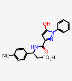 N#Cc1ccc([C@H](CC(=O)O)NC(=O)c2cc(O)n(-c3ccccc3)n2)cc1